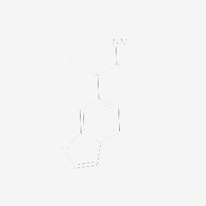 CNC(C)C(F)c1ccc2ccoc2c1